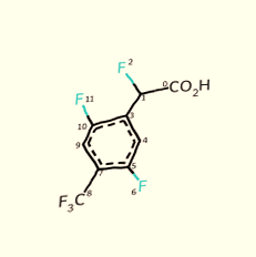 O=C(O)C(F)c1cc(F)c(C(F)(F)F)cc1F